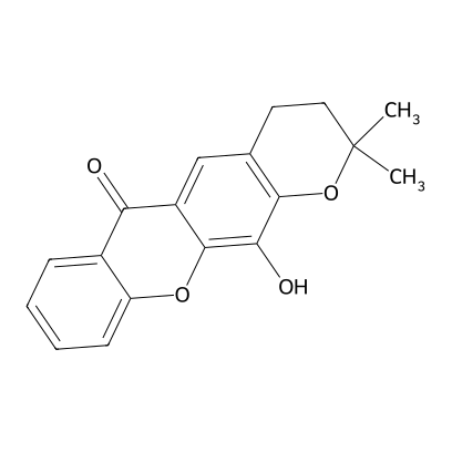 CC1(C)CCc2cc3c(=O)c4ccccc4oc3c(O)c2O1